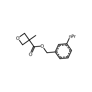 CCCc1cccc(COC(=O)C2(C)COC2)c1